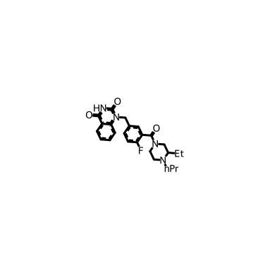 CCCN1CCN(C(=O)c2cc(Cn3c(=O)[nH]c(=O)c4ccccc43)ccc2F)CC1CC